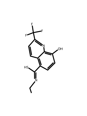 CC/N=C(\S)c1ccc(O)c2nc(C(F)(F)F)ccc12